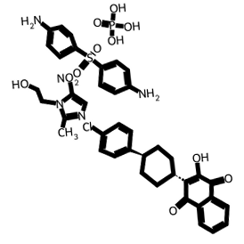 Cc1ncc([N+](=O)[O-])n1CCO.Nc1ccc(S(=O)(=O)c2ccc(N)cc2)cc1.O=C1C(O)=C([C@H]2CC[C@H](c3ccc(Cl)cc3)CC2)C(=O)c2ccccc21.O=P(O)(O)O